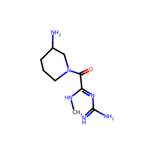 CN/C(=N\C(=N)N)C(=O)N1CCCC(N)C1